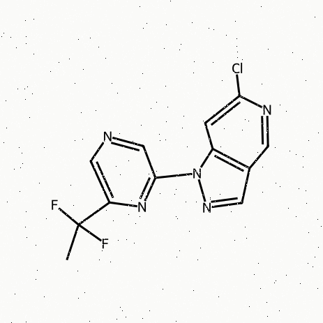 CC(F)(F)c1cncc(-n2ncc3cnc(Cl)cc32)n1